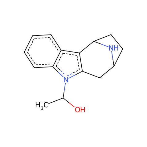 CC(O)n1c2c(c3ccccc31)C1CCC(C2)N1